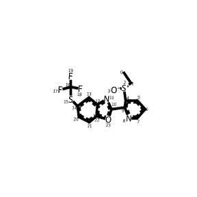 CC[S+]([O-])c1cccnc1-c1nc2cc(SC(F)(F)F)ccc2o1